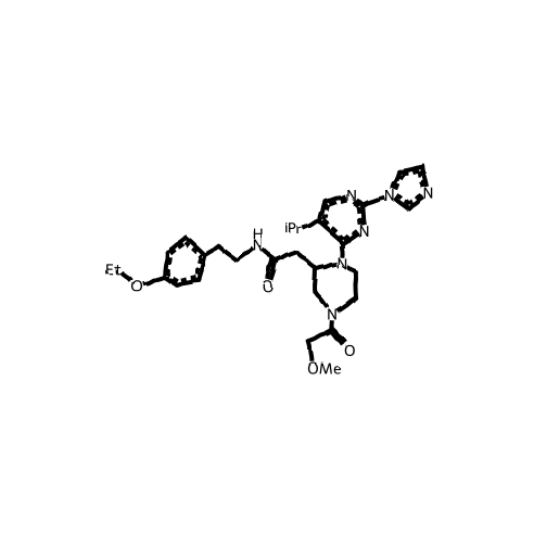 CCOc1ccc(CCNC(=O)CC2CN(C(=O)COC)CCN2c2nc(-n3ccnc3)ncc2C(C)C)cc1